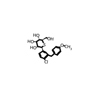 COc1ccc(Cc2cc([C@@H]3S[C@H](CO)[C@@H](O)[C@H](O)[C@H]3O)ccc2Cl)cc1